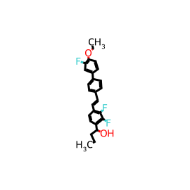 CCCC(O)c1ccc(/C=C/c2ccc(-c3ccc(OCC)c(F)c3)cc2)c(F)c1F